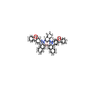 c1ccc2c3c4c(cc2c1)-n1c2cc5oc6ccccc6c5cc2c2c5ccccc5cc(c21)B4c1cc2ccccc2c2c4cc5c(cc4n-3c12)oc1ccccc15